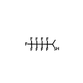 CC(S)C(F)(F)C(F)(F)C(F)(F)C(F)(F)F